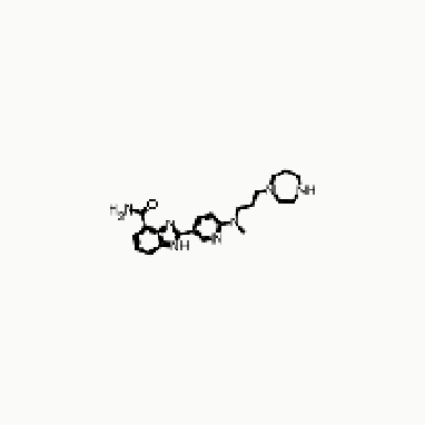 CN(CCCN1CCCNCC1)c1ccc(-c2nc3c(C(N)=O)cccc3[nH]2)cn1